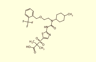 CC1CCC(N(CCOCc2ccccc2C(F)(F)F)C(=O)Nc2ncc(S(=O)(=O)C(C)(C)C(=O)O)s2)CC1